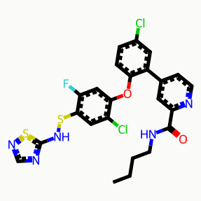 CCCCNC(=O)c1cc(-c2cc(Cl)ccc2Oc2cc(F)c(SNc3ncns3)cc2Cl)ccn1